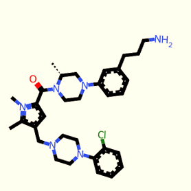 Cc1c(CN2CCN(c3ccccc3Cl)CC2)cc(C(=O)N2CCN(c3cccc(CCCN)c3)C[C@H]2C)n1C